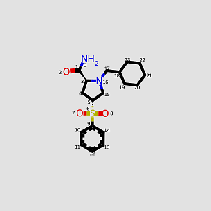 NC(=O)[C@@H]1C[C@@H](S(=O)(=O)c2ccccc2)CN1CC1CCCCC1